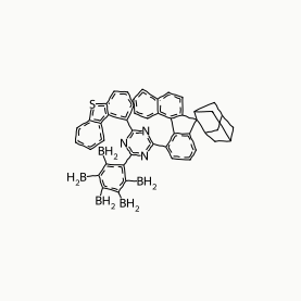 Bc1c(B)c(B)c(-c2nc(-c3cccc4c3-c3c(ccc5ccccc35)C43C4CC5CC(C4)CC3C5)nc(-c3cccc4sc5ccccc5c34)n2)c(B)c1B